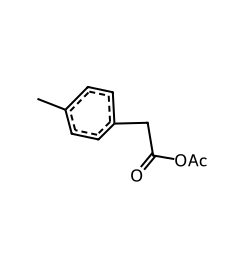 CC(=O)OC(=O)Cc1ccc(C)cc1